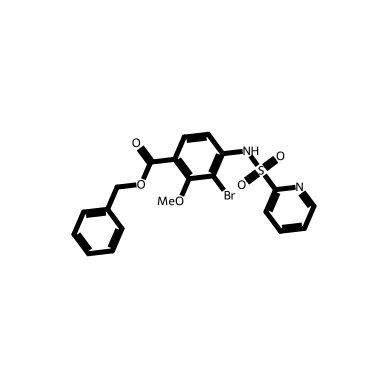 COc1c(C(=O)OCc2ccccc2)ccc(NS(=O)(=O)c2ccccn2)c1Br